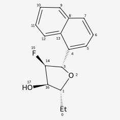 CC[C@H]1O[C@@H](c2cccc3ccccc23)[C@H](F)[C@@H]1O